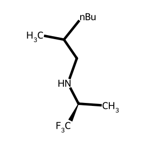 CCCC[C](C)CN[C@@H](C)C(F)(F)F